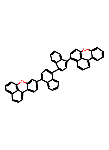 c1ccc2c(c1)Oc1ccc(-c3ccc(-c4ccc(-c5ccc6c(c5)Oc5cccc7cccc-6c57)c5ccccc45)c4ccccc34)c3cccc-2c13